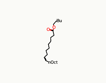 CCCCCCCC/C=C\CCCCCCCC(=O)OCC(C)CC